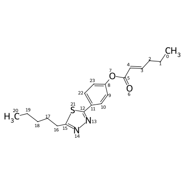 CCCC=CC(=O)Oc1ccc(-c2nnc(CCCCC)s2)cc1